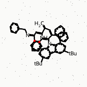 C=C(/C=C(\C(=C\c1ccccc1)n1c2ccc(C(C)(C)C)cc2c2cc(C(C)(C)C)cc(-c3ccccc3)c21)c1ccccc1)/C(N)=C/C(=N\Cc1ccccc1)c1ccccc1